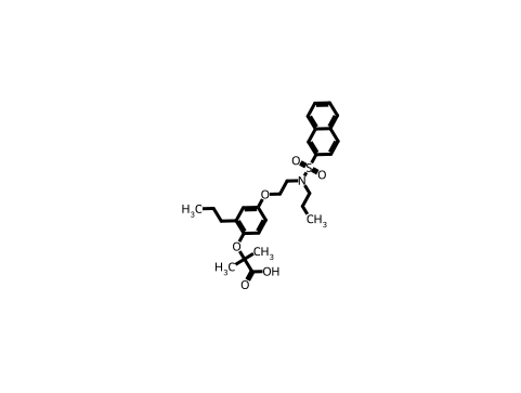 CCCc1cc(OCCN(CCC)S(=O)(=O)c2ccc3ccccc3c2)ccc1OC(C)(C)C(=O)O